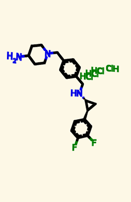 Cl.Cl.Cl.Cl.NC1CCN(Cc2ccc(CN[C@@H]3C[C@H]3c3ccc(F)c(F)c3)cc2)CC1